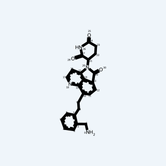 NCc1ccccc1CCc1ccc2c3c(ccnc13)N(C1CCC(=O)NC1=O)C2=O